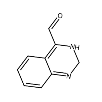 O=CC1=c2ccccc2=NCN1